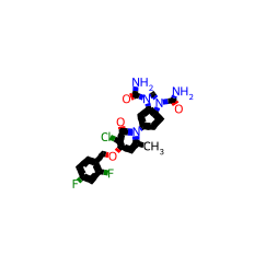 Cc1cc(OCc2ccc(F)cc2F)c(Cl)c(=O)n1-c1ccc2c(c1)N(C(N)=O)CN2C(N)=O